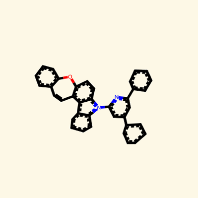 C1=Cc2c(ccc3c2c2ccccc2n3-c2cc(-c3ccccc3)cc(-c3ccccc3)n2)Oc2ccccc21